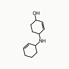 OC1C=CC(NC2C=CCCC2)CC1